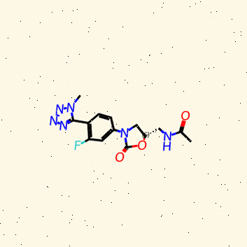 CC(=O)NC[C@H]1CN(c2ccc(-c3nnnn3C)c(F)c2)C(=O)O1